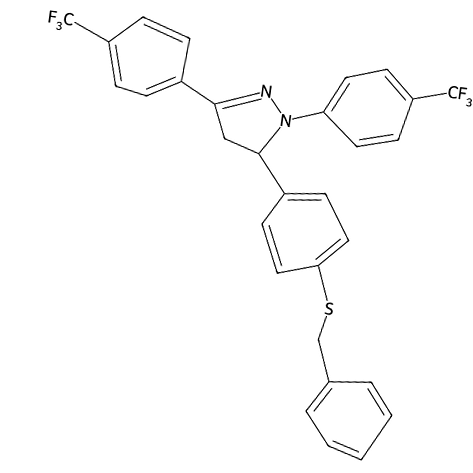 FC(F)(F)c1ccc(C2=NN(c3ccc(C(F)(F)F)cc3)C(c3ccc(SCc4ccccc4)cc3)C2)cc1